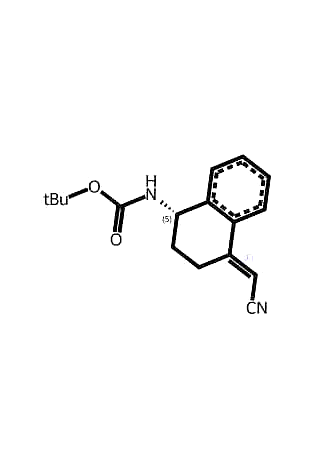 CC(C)(C)OC(=O)N[C@H]1CC/C(=C\C#N)c2ccccc21